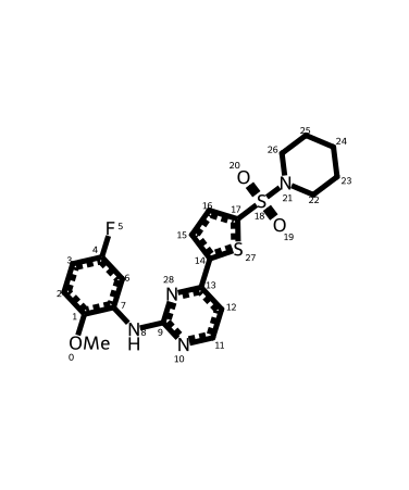 COc1ccc(F)cc1Nc1nccc(-c2ccc(S(=O)(=O)N3CCCCC3)s2)n1